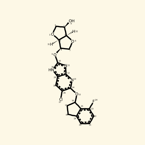 O[C@@H]1CO[C@H]2[C@@H]1OC[C@H]2Oc1nc2nc(OC3CCc4cccc(F)c43)c(Cl)cc2[nH]1